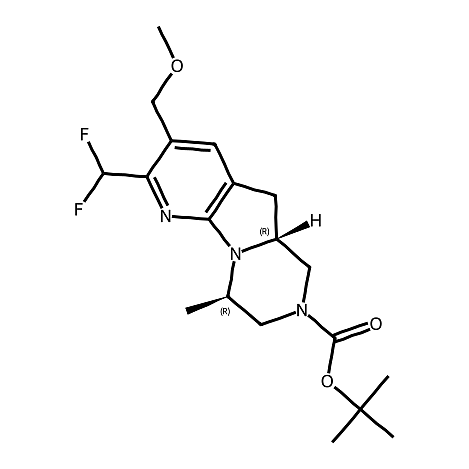 COCc1cc2c(nc1C(F)F)N1[C@H](C2)CN(C(=O)OC(C)(C)C)C[C@H]1C